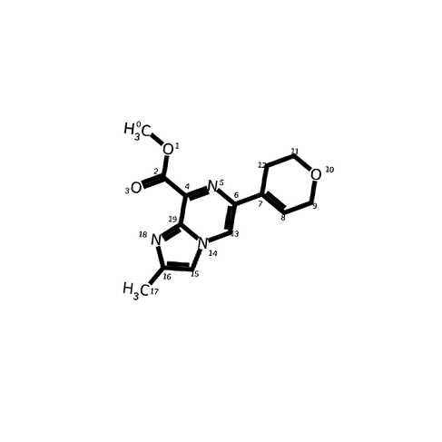 COC(=O)c1nc(C2=CCOCC2)cn2cc(C)nc12